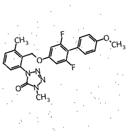 COc1ccc(-c2c(F)cc(OCc3c(C)cccc3-n3nnn(C)c3=O)cc2F)cc1